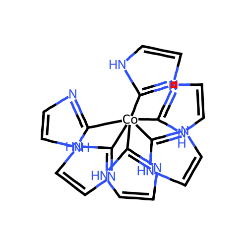 c1c[nH][c]([Co]([c]2ncc[nH]2)([c]2ncc[nH]2)([c]2ncc[nH]2)([c]2ncc[nH]2)[c]2ncc[nH]2)n1